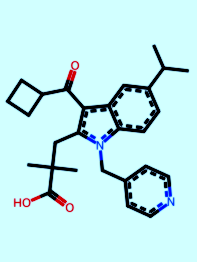 CC(C)c1ccc2c(c1)c(C(=O)C1CCC1)c(CC(C)(C)C(=O)O)n2Cc1ccncc1